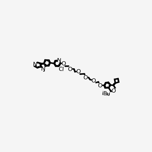 CC[C@@H](C)C(=O)c1cc(OCCOCCOCCOCCOCCOc2ncc(-c3ccc4c5cnccc5n(C)c4c3)cc2Cl)ccc1C(C)=C1CCC1